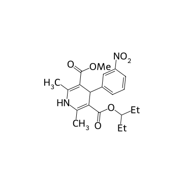 CCC(CC)OC(=O)C1=C(C)NC(C)=C(C(=O)OC)C1c1cccc([N+](=O)[O-])c1